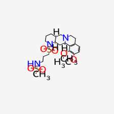 COc1ccc2c(c1OC)[C@@H]1C[C@@H]3[C@@H](CCCN3S(=O)(=O)CCCNS(C)(=O)=O)CN1CC2